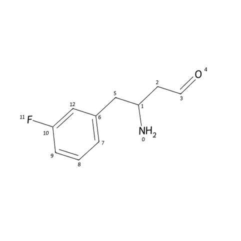 NC(CC=O)Cc1cccc(F)c1